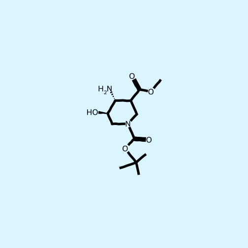 COC(=O)C1CN(C(=O)OC(C)(C)C)C[C@@H](O)[C@@H]1N